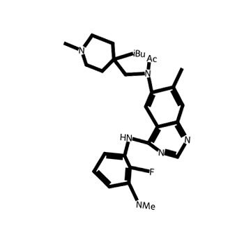 CCC(C)C1(CN(C(C)=O)c2cc3c(Nc4cccc(NC)c4F)ncnc3cc2C)CCN(C)CC1